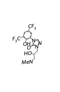 CNCC(O)Cn1ncn(-c2cc(C(F)(F)F)cc(C(F)(F)F)c2O)c1=O